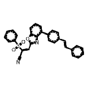 N#CC(=Cc1nc2c(-c3ccc(C=Cc4ccccc4)cc3)cccc2o1)S(=O)(=O)c1ccccc1